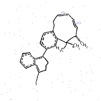 C=C1/C=C\C=C/Cc2ccc(C3=c4ccccc4=C(I)CC3)cc2C1(C)C